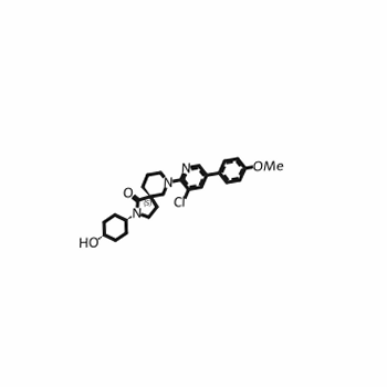 COc1ccc(-c2cnc(N3CCC[C@]4(CCN([C@H]5CC[C@@H](O)CC5)C4=O)C3)c(Cl)c2)cc1